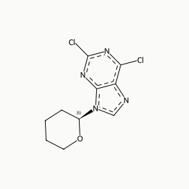 Clc1nc(Cl)c2ncn([C@@H]3CCCCO3)c2n1